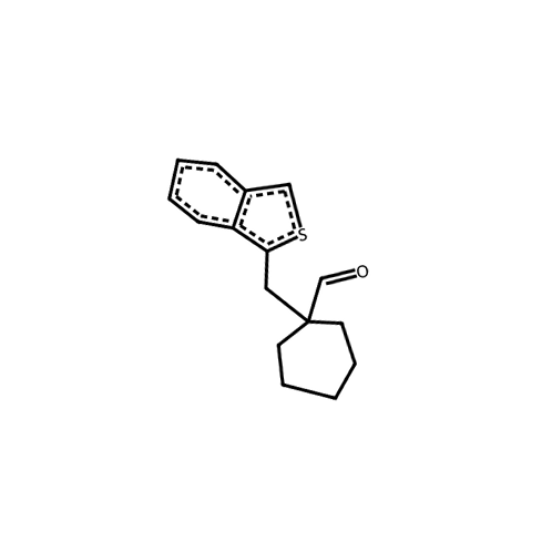 O=CC1(Cc2scc3ccccc23)CCCCC1